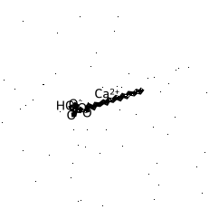 CCCCCCCCCCCCCCCCCC(=O)OCC(C[O-])(C[O-])CO.[Ca+2]